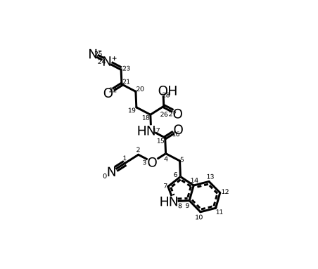 N#CCOC(Cc1c[nH]c2ccccc12)C(=O)NC(CCC(=O)C=[N+]=[N-])C(=O)O